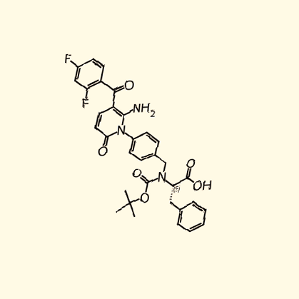 CC(C)(C)OC(=O)N(Cc1ccc(-n2c(N)c(C(=O)c3ccc(F)cc3F)ccc2=O)cc1)[C@@H](Cc1ccccc1)C(=O)O